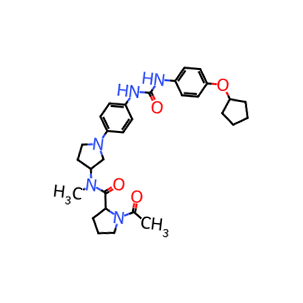 CC(=O)N1CCCC1C(=O)N(C)C1CCN(c2ccc(NC(=O)Nc3ccc(OC4CCCC4)cc3)cc2)C1